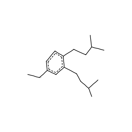 C[CH]c1ccc(CCC(C)C)c(CCC(C)C)c1